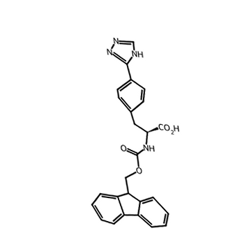 O=C(N[C@@H](Cc1ccc(-c2nnc[nH]2)cc1)C(=O)O)OCC1c2ccccc2-c2ccccc21